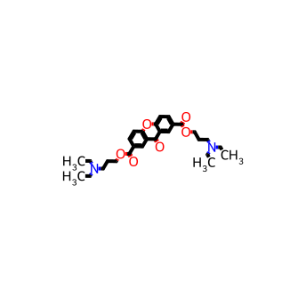 CCN(CC)CCCOC(=O)c1ccc2oc3ccc(C(=O)OCCCN(CC)CC)cc3c(=O)c2c1